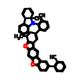 CC1CC(c2cccc(C#N)c2N2c3ccccc3C3C=CC=CC32C)=Cc2c1oc1cc3oc4ccc(-c5ccccc5C#N)cc4c3cc21